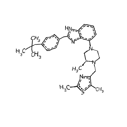 Cc1nc(CN2CCN(c3cccc4[nH]c(-c5ccc(C(C)(C)C)cc5)nc34)C[C@@H]2C)c(C)s1